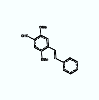 COc1cc(C=Cc2ccccc2)c(OC)cc1C=O